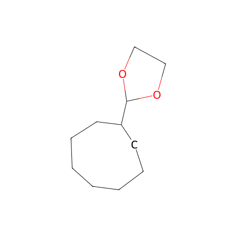 C1CCCC(C2OCCO2)CCC1